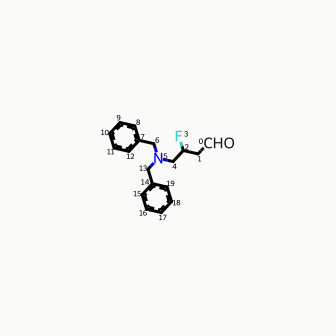 O=CCC(F)CN(Cc1ccccc1)Cc1ccccc1